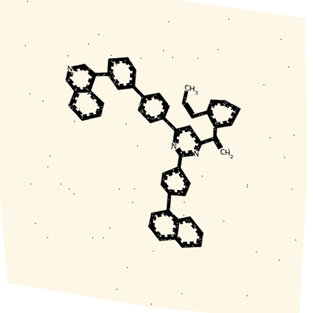 C=C(c1cc(-c2ccc(-c3cccc(-c4cncc5ccccc45)c3)cc2)nc(-c2ccc(-c3cccc4ccccc34)cc2)n1)c1ccccc1/C=C\C